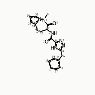 CN1C(=O)C(NC(=O)c2nnc(Cc3ccccc3)[nH]2)CSc2cccn21